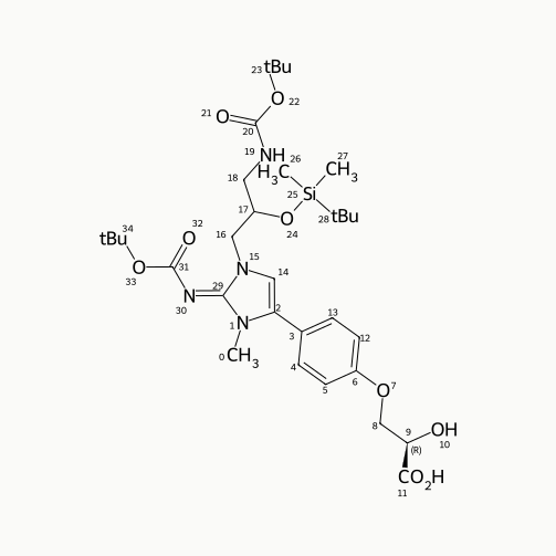 Cn1c(-c2ccc(OC[C@@H](O)C(=O)O)cc2)cn(CC(CNC(=O)OC(C)(C)C)O[Si](C)(C)C(C)(C)C)c1=NC(=O)OC(C)(C)C